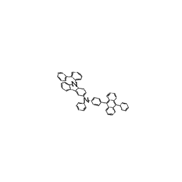 c1ccc(-c2ccccc2-n2c3ccccc3c3cc(N(c4ccccc4)c4ccc(-c5c6ccccc6c(-c6ccccc6)c6ccccc56)cc4)ccc32)cc1